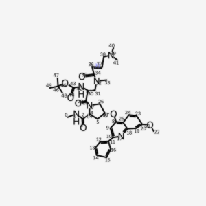 CNC(=O)[C@@H]1C[C@@H](Oc2cc(-c3ccccc3)nc3cc(OC)ccc23)CN1C(=O)[C@H](CN(C)C(=O)/C=C/CN(C)C)NC(=O)OC(C)(C)C